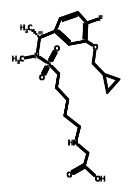 C[C@H](c1ccc(F)c(OCC2CC2)c1)N(C)S(=O)(=O)CCCCCNCC(=O)O